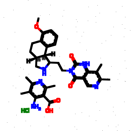 COc1cccc2c1CC[C@H]1CNC(CCn3c(=O)[nH]c4c(C)c(C)ncc4c3=O)[C@@H]21.Cc1nc(C)c(C(=O)O)c(N)c1C.Cl